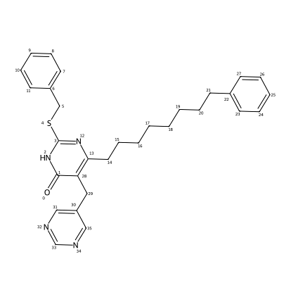 O=c1[nH]c(SCc2ccccc2)nc(CCCCCCCCc2ccccc2)c1Cc1cncnc1